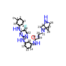 Cc1cccc(Nc2nc(Nc3cccc(NC(=O)/C=C/CN4CC5NCC6CC654)c3)ncc2F)c1